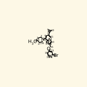 CN1CCN(c2cc(C3CC3)cn3cc(COc4ccnc(Br)c4)nc23)CC1